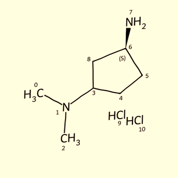 CN(C)C1CC[C@H](N)C1.Cl.Cl